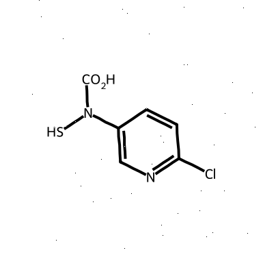 O=C(O)N(S)c1ccc(Cl)nc1